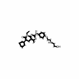 CCn1c(=O)c(-c2ccccc2)cc2c(C)nc(Nc3ccc(OCCNCCO)cc3)nc21